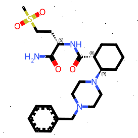 CS(=O)(=O)CC[C@H](NC(=O)[C@@H]1CCCC[C@H]1N1CCN(Cc2ccccc2)CC1)C(N)=O